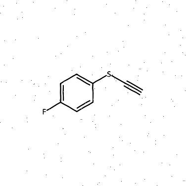 C#CSc1ccc(F)cc1